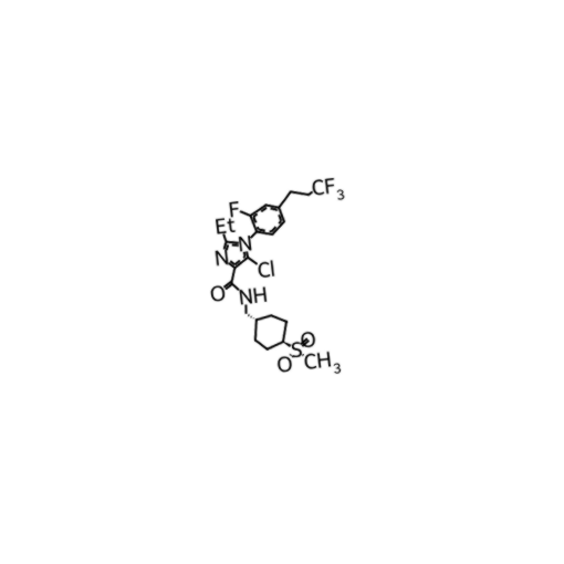 CCc1nc(C(=O)NC[C@H]2CC[C@H](S(C)(=O)=O)CC2)c(Cl)n1-c1ccc(CCC(F)(F)F)cc1F